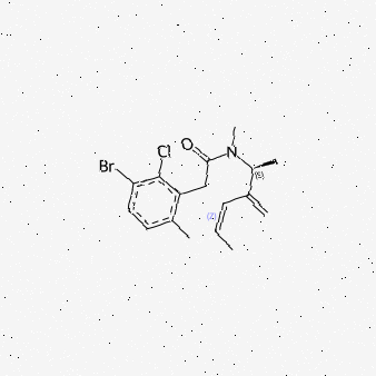 C=C(/C=C\C)[C@H](C)N(C)C(=O)Cc1c(C)ccc(Br)c1Cl